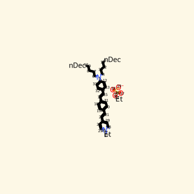 CCCCCCCCCCCCCCN(CCCCCCCCCCCCCC)c1ccc(/C=C/c2ccc(/C=C/c3cc[n+](CC)cc3)cc2)cc1.CCOS(=O)(=O)[O-]